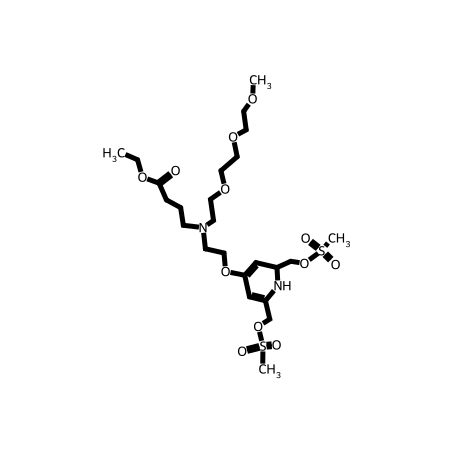 CCOC(=O)CCCN(CCOCCOCCOC)CCOC1=CC(COS(C)(=O)=O)NC(COS(C)(=O)=O)=C1